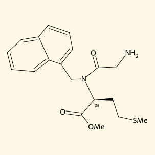 COC(=O)[C@H](CCSC)N(Cc1cccc2ccccc12)C(=O)CN